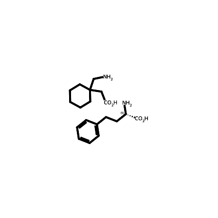 NCC1(CC(=O)O)CCCCC1.N[C@@H](CCc1ccccc1)C(=O)O